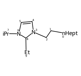 CCCCCCCCCN1C=CN(C(C)C)C1CC